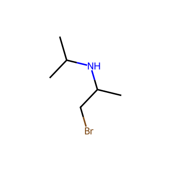 CC(C)NC(C)CBr